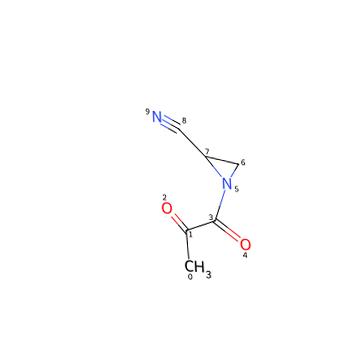 CC(=O)C(=O)N1CC1C#N